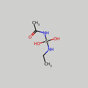 CCN[Si](O)(O)NC(C)=O